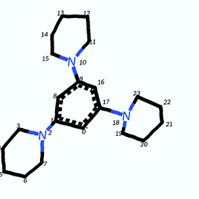 [c]1c(N2CCCCC2)cc(N2CCCCC2)cc1N1CCCCC1